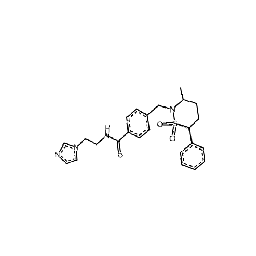 CC1CCC(c2ccccc2)S(=O)(=O)N1Cc1ccc(C(=O)NCCn2ccnc2)cc1